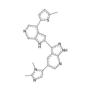 Cc1ccc(-c2cncc3[nH]c(-c4n[nH]c5ncc(-c6cnc(C)n6C)cc45)cc23)s1